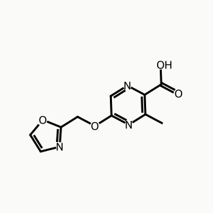 Cc1nc(OCc2ncco2)cnc1C(=O)O